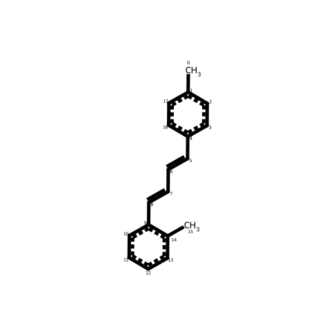 Cc1ccc(C=CC=Cc2ccccc2C)cc1